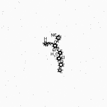 Cc1c(COc2cc(OCc3cncc(C#N)c3)c(CNCc3ncc[nH]3)cc2Cl)cccc1-c1cccc(OC2CCC(N3CCCC3)CC2)c1Cl